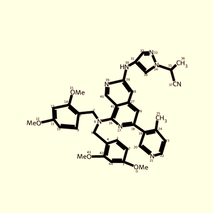 COc1ccc(CN(Cc2ccc(OC)cc2OC)c2nc(-c3cnccc3C)cc3cc(Nc4cnn(C(C)C#N)c4)ncc23)c(OC)c1